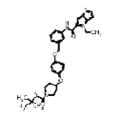 CCn1c(C(=O)Nc2cccc(COc3ccc(OC4CCN(C(=O)OC(C)(C)C)CC4)cc3)c2)cc2sccc21